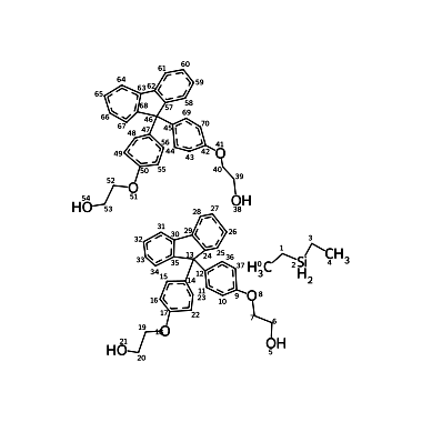 CC[SiH2]CC.OCCOc1ccc(C2(c3ccc(OCCO)cc3)c3ccccc3-c3ccccc32)cc1.OCCOc1ccc(C2(c3ccc(OCCO)cc3)c3ccccc3-c3ccccc32)cc1